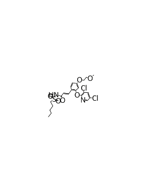 CCCCCS(=O)(=O)NC(=O)C=Cc1ccc(OCCOC)cc1Oc1ncc(Cl)cc1Cl